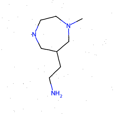 CN1CC[N]CC(CCN)C1